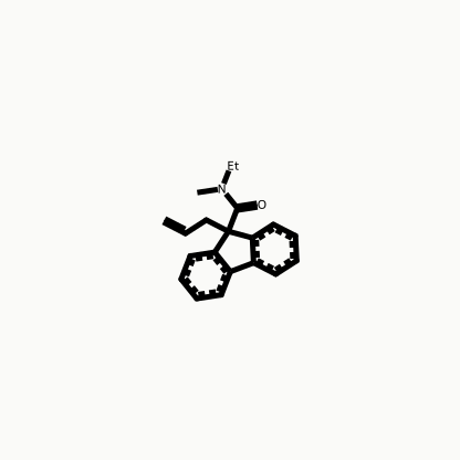 C=CCC1(C(=O)N(C)CC)c2ccccc2-c2ccccc21